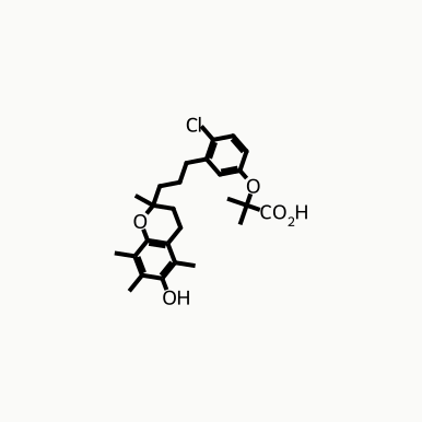 Cc1c(C)c2c(c(C)c1O)CCC(C)(CCCc1cc(OC(C)(C)C(=O)O)ccc1Cl)O2